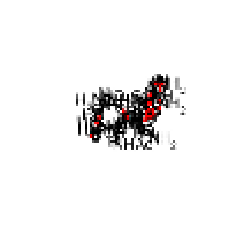 CC(=O)NCCCC[C@@H]1NC(O)[C@H](Cc2c[nH]c3c(C)cccc23)NC(=O)[C@H]([C@@H](C)O)NC(=O)[C@H](CC(N)=O)NC(=O)[C@@H](NC(C)=O)CCSC(C)(C)[C@@H](C(=O)N[C@@H](Cc2ccc(OCCN)cc2)C(=O)N[C@@H](Cc2ccc3ccccc3c2)C(=O)NC2(C(=O)N[C@@H](CCC(=O)O)C(=O)N[C@@H](CC(N)=O)C(=O)N[C@@H](Cc3cccnc3)C(=O)N(C)CC(N)=O)CCOCC2)NC1=O